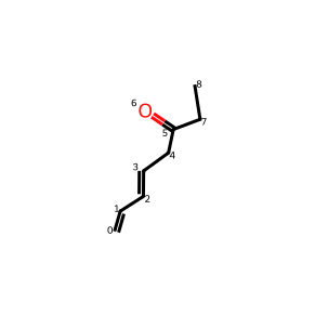 C=CC=CCC(=O)CC